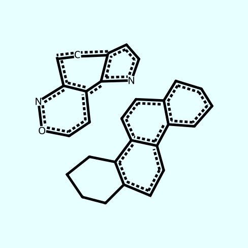 c1cc2ccc3noccc3c2n1.c1ccc2c(c1)ccc1c3c(ccc12)CCCC3